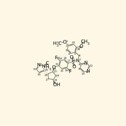 COc1ccc(CN(c2ccncn2)S(=O)(=O)c2cc(F)c(O[C@H]3C[C@@H](O)C[C@@H]3c3ccnn3C)cc2F)c(OC)c1